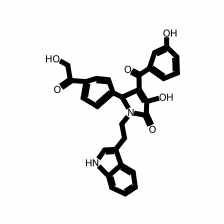 O=C(CO)c1ccc(C2C(C(=O)c3cccc(O)c3)=C(O)C(=O)N2CCc2c[nH]c3ccccc23)cc1